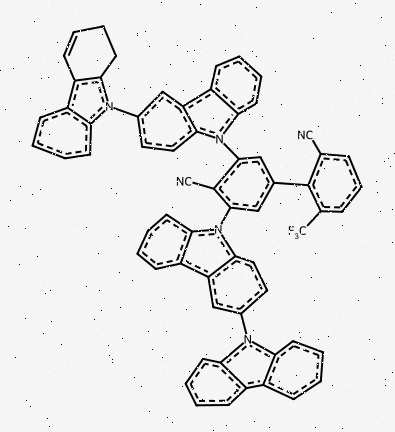 N#Cc1cccc(C(F)(F)F)c1-c1cc(-n2c3ccccc3c3cc(-n4c5c(c6ccccc64)C=CCC5)ccc32)c(C#N)c(-n2c3ccccc3c3cc(-n4c5ccccc5c5ccccc54)ccc32)c1